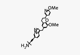 COc1ccc(C2CCc3cc(Cc4cnn5cc(C#CC(C)(C)N)ccc45)cc(OC)c3O2)cn1